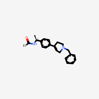 CCC(=O)N[C@@H](C)c1ccc(C2=CCN(Cc3ccccc3)CC2)cc1